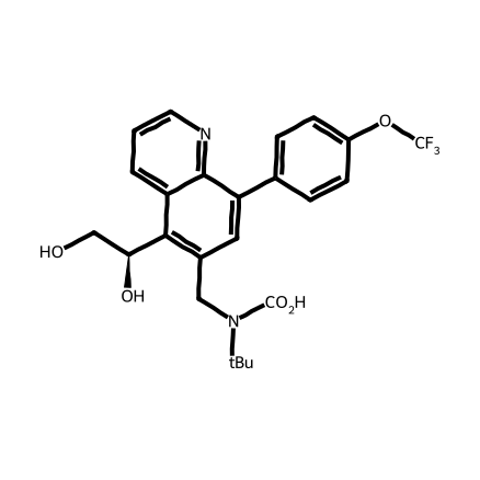 CC(C)(C)N(Cc1cc(-c2ccc(OC(F)(F)F)cc2)c2ncccc2c1[C@@H](O)CO)C(=O)O